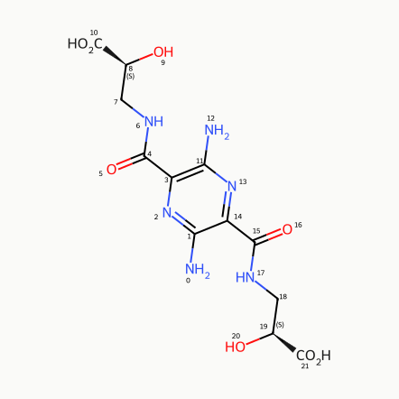 Nc1nc(C(=O)NC[C@H](O)C(=O)O)c(N)nc1C(=O)NC[C@H](O)C(=O)O